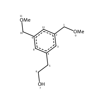 COCc1cc(CCO)cc(COC)c1